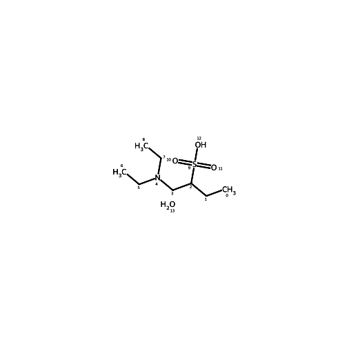 CCC(CN(CC)CC)S(=O)(=O)O.O